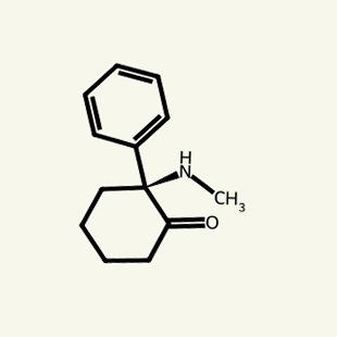 CN[C@]1(c2ccccc2)CCCCC1=O